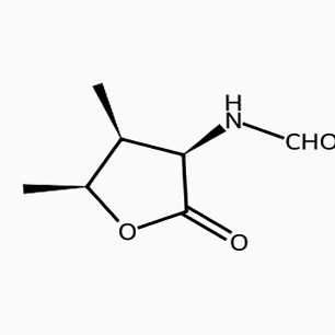 C[C@@H]1[C@H](C)OC(=O)[C@@H]1NC=O